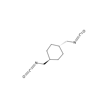 O=C=NC[C@H]1CC[C@H](CN=C=O)CC1